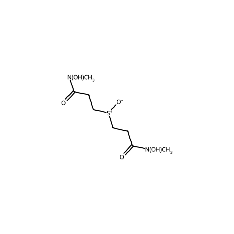 CN(O)C(=O)CC[S+]([O-])CCC(=O)N(C)O